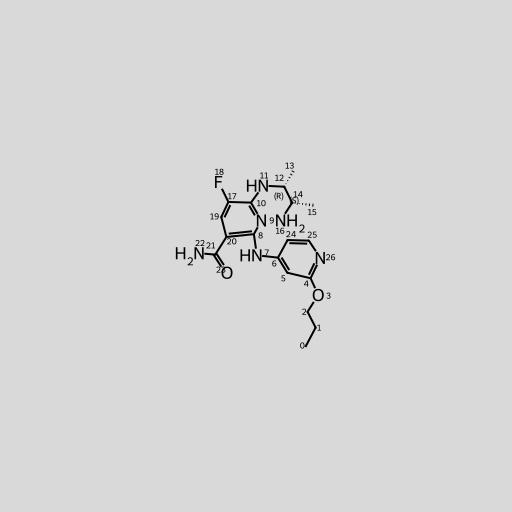 CCCOc1cc(Nc2nc(N[C@H](C)[C@H](C)N)c(F)cc2C(N)=O)ccn1